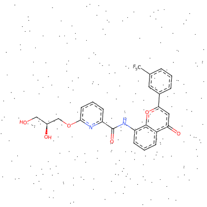 O=C(Nc1cccc2c(=O)cc(-c3cccc(C(F)(F)F)c3)oc12)c1cccc(OC[C@@H](O)CO)n1